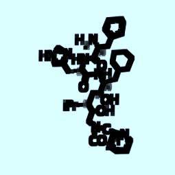 CC(C)[C@H](C[C@H](O)[C@H](CC1CCCCC1)NC(=O)[C@H](Cc1c[nH]cn1)NC(=O)[C@@H](N)Cc1ccccc1)C(O)CN(Cc1ccccn1)C(=O)O